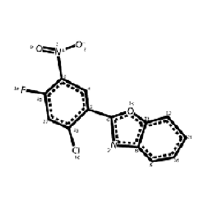 O=[N+]([O-])c1cc(-c2nc3ccccc3o2)c(Cl)cc1F